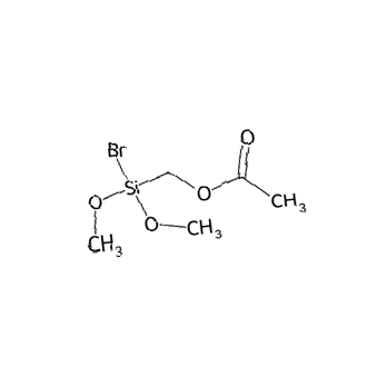 CO[Si](Br)(COC(C)=O)OC